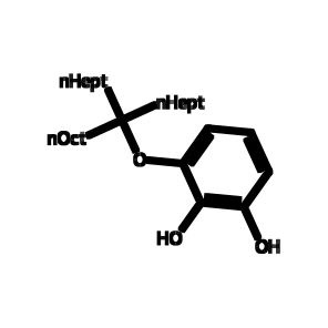 CCCCCCCCC(CCCCCCC)(CCCCCCC)Oc1cccc(O)c1O